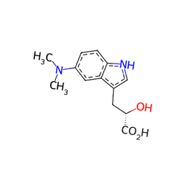 CN(C)c1ccc2[nH]cc(C[C@H](O)C(=O)O)c2c1